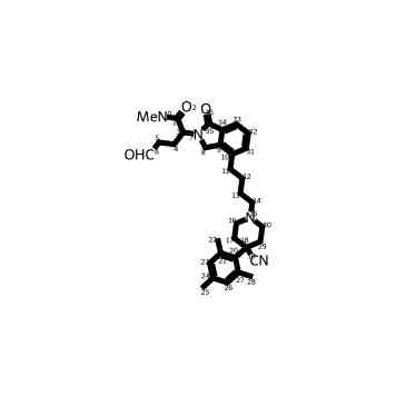 CNC(=O)C(CCC=O)N1Cc2c(CCCCN3CCC(C#N)(c4c(C)cc(C)cc4C)CC3)cccc2C1=O